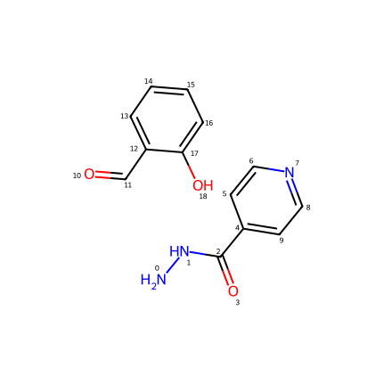 NNC(=O)c1ccncc1.O=Cc1ccccc1O